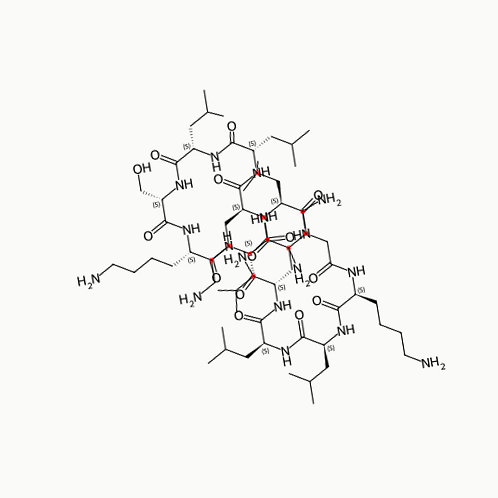 CC(C)C[C@H](NC(=O)[C@H](CC(C)C)NC(=O)[C@H](CCCCN)NC(=O)[C@H](CO)NC(=O)[C@H](CC(C)C)NC(=O)[C@H](CC(C)C)NC(=O)[C@H](CCCCN)NC(=O)CN)C(=O)NCC(=O)N[C@@H](CCCCN)C(=O)N[C@@H](CC(C)C)C(=O)N[C@@H](CC(C)C)C(=O)N[C@@H](CCCCN)C(N)=O